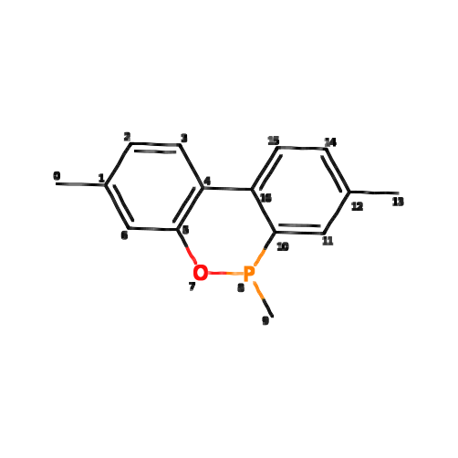 Cc1ccc2c(c1)OP(C)c1cc(C)ccc1-2